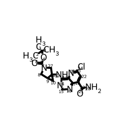 CC(C)(C)OC(=O)N1CC2CC2(Nc2ncnc3c(C(N)=O)cc(Cl)nc23)C1